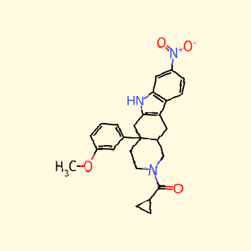 COc1cccc(C23CCN(C(=O)C4CC4)CC2Cc2c([nH]c4cc([N+](=O)[O-])ccc24)C3)c1